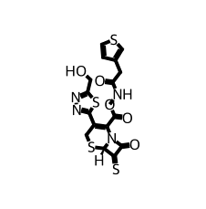 O=C(Cc1ccsc1)NOC(=O)C1=C(c2nnc(CO)s2)CS[C@H]2C(=S)C(=O)N12